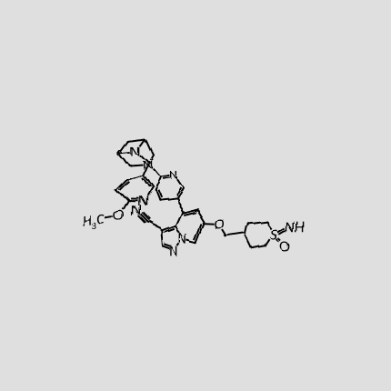 COc1ccc(CN2C3CC2CN(c2ccc(-c4cc(OCC5CCS(=N)(=O)CC5)cn5ncc(C#N)c45)cn2)C3)cn1